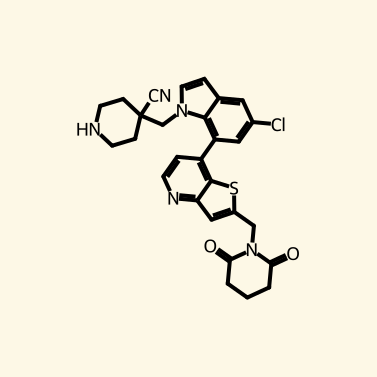 N#CC1(Cn2ccc3cc(Cl)cc(-c4ccnc5cc(CN6C(=O)CCCC6=O)sc45)c32)CCNCC1